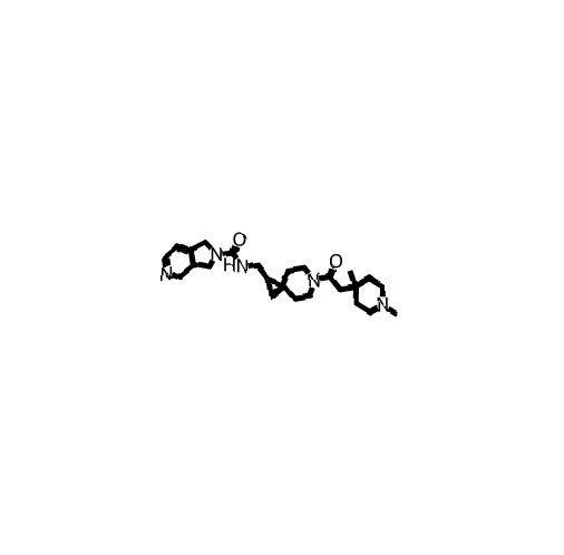 CN1CCC(C)(CC(=O)N2CCC3(CC2)CC3CNC(=O)N2CC3=CC=NCC3C2)CC1